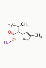 CC1=CC(C(C(=O)OP)C(C)C)C=C1